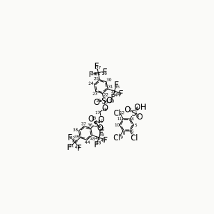 O=S(=O)(O)c1cc(Cl)c(Cl)cc1Cl.O=S(=O)(OCOS(=O)(=O)c1ccc(C(F)(F)F)cc1C(F)(F)F)c1ccc(C(F)(F)F)cc1C(F)(F)F